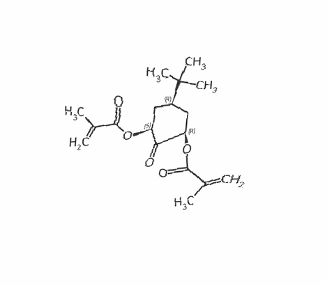 C=C(C)C(=O)O[C@H]1C[C@@H](C(C)(C)C)C[C@@H](OC(=O)C(=C)C)C1=O